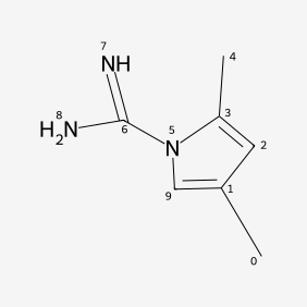 Cc1cc(C)n(C(=N)N)c1